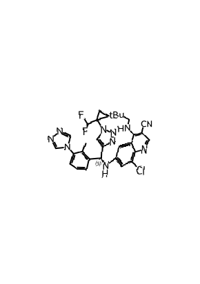 Cc1c([C@H](Nc2cc(Cl)c3ncc(C#N)c(NCC(C)(C)C)c3c2)c2cn(C3(C(F)F)CC3)nn2)cccc1-n1cnnc1